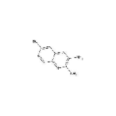 Nc1cc2cc(Br)ccc2nc1N